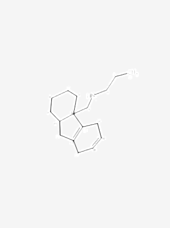 CCCNCC12CCCCC1CC1=C2CC=CC1